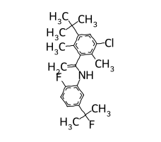 C=C(Nc1cc(C(C)(C)F)ccc1F)c1c(C)c(Cl)cc(C(C)(C)C)c1C